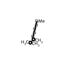 COCCOCCOCCOCCOc1cc(C)cc(-c2cc(C)ccc2C)c1